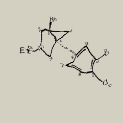 CCN1C[C@@H]2C[C@@]2(c2ccc(Cl)c(Cl)c2)C1